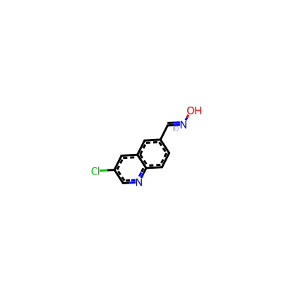 O/N=C/c1ccc2ncc(Cl)cc2c1